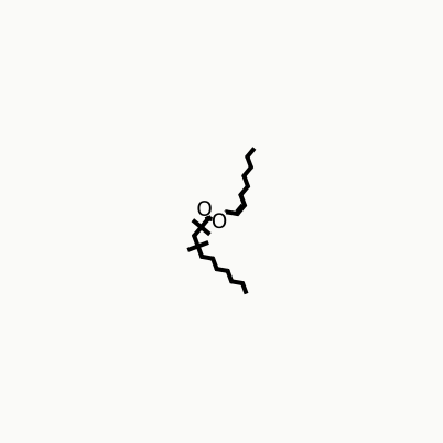 CCCCCC/C=C\COC(=O)C(C)(C)CC(C)(C)CCCCCCC